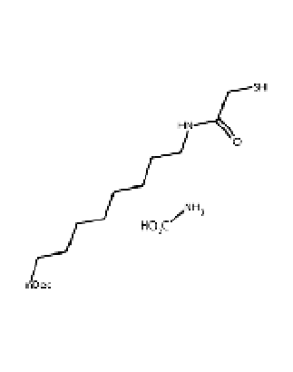 CCCCCCCCCCCCCCCCCCNC(=O)CS.NC(=O)O